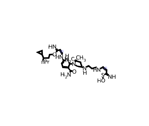 CCCC(CCOC(=N)/C=C\NC1=CC=C(C(N)=O)C(N2CC(NCCCN/C=C\C(=N)SO)CC2(C)C)N1)C1CC1